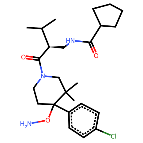 CC(C)[C@@H](CNC(=O)C1CCCC1)C(=O)N1CCC(ON)(c2ccc(Cl)cc2)C(C)(C)C1